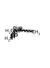 C=C1[C@H](n2ccc(N)nc2=O)O[C@H](COC(=O)CCCCCCCCC)[C@H]1O